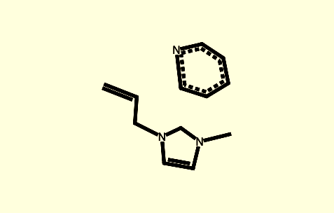 C=CCN1C=CN(C)C1.c1ccncc1